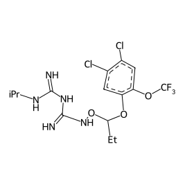 CCC(ONC(=N)NC(=N)NC(C)C)Oc1cc(Cl)c(Cl)cc1OC(F)(F)F